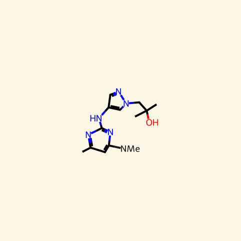 CNc1cc(C)nc(Nc2cnn(CC(C)(C)O)c2)n1